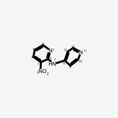 O=[N+]([O-])c1cccnc1Nc1ccncc1